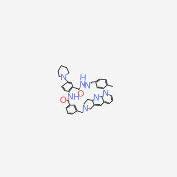 Cc1ccc(C=NNC(=O)c2cc(N3CCCCC3)ccc2NC(=O)c2cccc(CN3CCc4nc5ncccc5cc4C3)c2)cc1